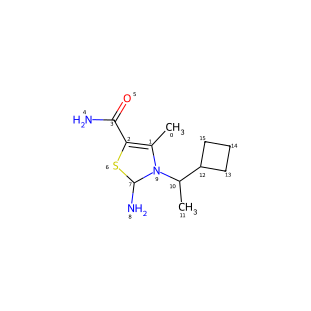 CC1=C(C(N)=O)SC(N)N1C(C)C1CCC1